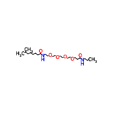 CCCNC(=O)CCOCCOCCOCCOCCNC(=O)CCCCCC(C)C